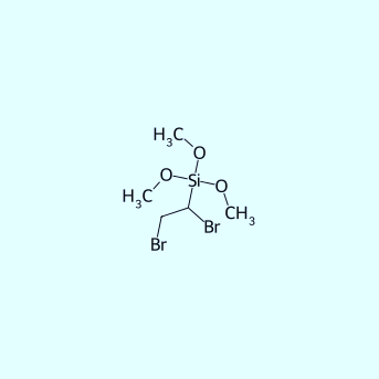 CO[Si](OC)(OC)C(Br)CBr